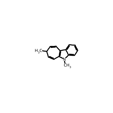 CC1C=Cc2c(n(C)c3ccccc23)C=C1